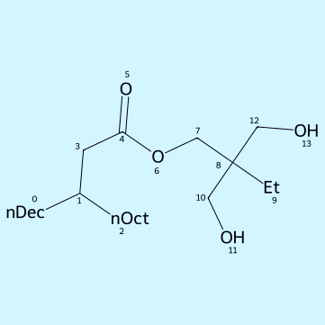 CCCCCCCCCCC(CCCCCCCC)CC(=O)OCC(CC)(CO)CO